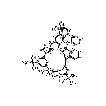 CC(C)(C)c1cc2cc(c1)C(C)(C)C(C)(C)c1cc(cc(C(C)(C)C)c1)-c1ccc3c(c1)B1c4cc-2ccc4Oc2cc(C(C)(C)C)cc(c21)N3c1c(-c2ccccc2)cccc1-c1ccccc1